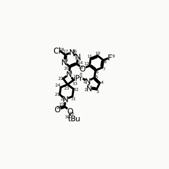 CC(C)n1nccc1-c1cc(F)ccc1Oc1nnc(Cl)nc1N1CC2(CCN(C(=O)OC(C)(C)C)CC2)C1